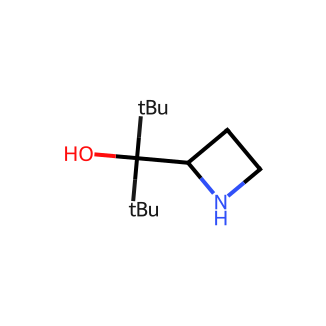 CC(C)(C)C(O)(C1CCN1)C(C)(C)C